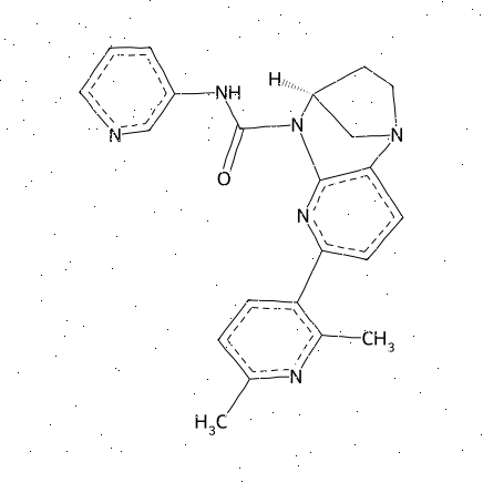 Cc1ccc(-c2ccc3c(n2)N(C(=O)Nc2cccnc2)[C@H]2CCN3C2)c(C)n1